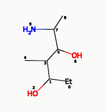 CCC(O)C(C)C(O)C(C)N